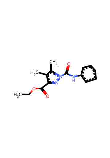 CCOC(=O)c1nn(C(=O)Nc2ccccc2)c(C)c1C